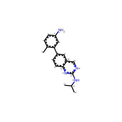 Cc1ccc(N)cc1-c1ccc2nc(NC(C)C)ncc2c1